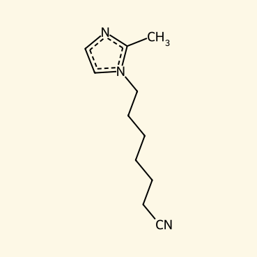 Cc1nccn1CCCCCCC#N